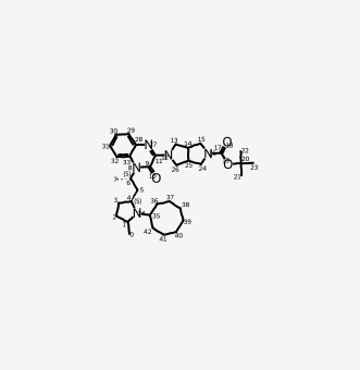 CC1CC[C@@H](C[C@H](C)n2c(=O)c(N3CC4CN(C(=O)OC(C)(C)C)CC4C3)nc3ccccc32)N1C1CCCCCCC1